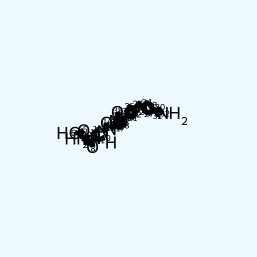 CC(C)(NC(=O)O)C(=O)N1CCN(C(=O)Nc2ccn(-c3ccc(CN4CCC(C(C)(C)N)CC4)cc3)c(=O)n2)CC1